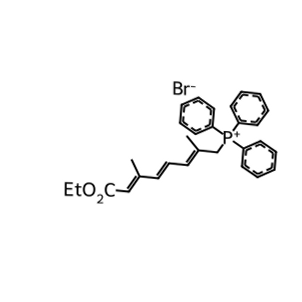 CCOC(=O)/C=C(C)/C=C/C=C(\C)C[P+](c1ccccc1)(c1ccccc1)c1ccccc1.[Br-]